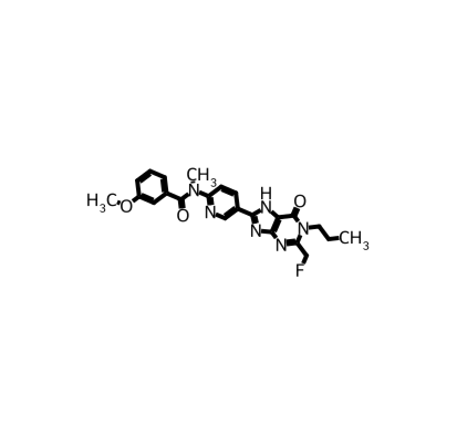 CCCn1c(CF)nc2nc(-c3ccc(N(C)C(=O)c4cccc(OC)c4)nc3)[nH]c2c1=O